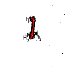 C[C@H]1C=C2C=C[C@H](C)[C@H](CC[C@@H]3C[C@@H](O)CC(=O)O3)[C@H]2[C@@H](OC(=O)C(C)(C)CCC(=O)NCCOCCOCCOCCOCCOCCOCCNc2cccc3c2C(=O)N(C2CCC(=O)NC2=O)C3=O)C1